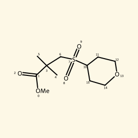 COC(=O)C(C)(C)CS(=O)(=O)C1CCOCC1